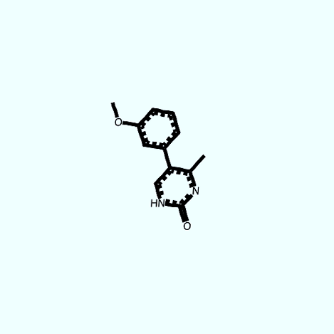 COc1cccc(-c2c[nH]c(=O)nc2C)c1